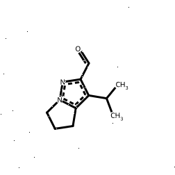 CC(C)c1c(C=O)nn2c1CCC2